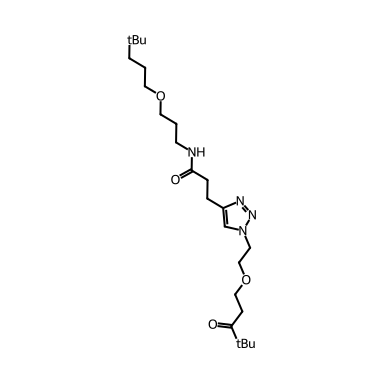 CC(C)(C)CCCOCCCNC(=O)CCc1cn(CCOCCC(=O)C(C)(C)C)nn1